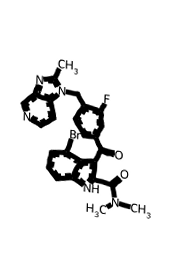 Cc1nc2cnccc2n1Cc1ccc(C(=O)c2c(C(=O)N(C)C)[nH]c3cccc(Br)c23)cc1F